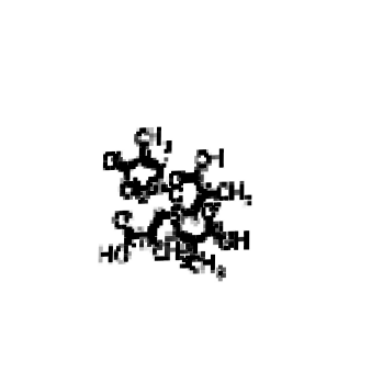 CC(=C[SiH2]O[Si](C=C(C)C(=O)O)(C=C(C)C(=O)O)C=C(C)C(=O)O)C(=O)O